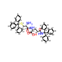 N[C@@H](CSC(c1ccccc1)(c1ccccc1)c1ccccc1)C(=O)N[C@@H](CCC(=O)NC(c1ccccc1)(c1ccccc1)c1ccccc1)C(=O)O